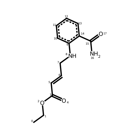 CCOC(=O)C=CCNc1ccccc1C(N)=O